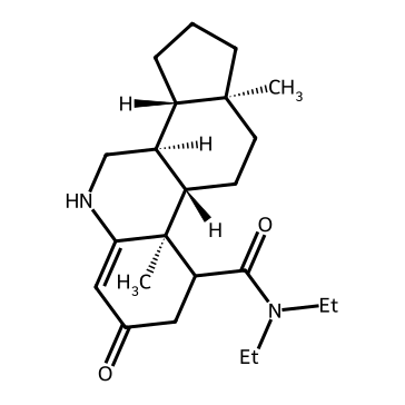 CCN(CC)C(=O)C1CC(=O)C=C2NC[C@H]3[C@@H]4CCC[C@@]4(C)CC[C@@H]3[C@]21C